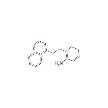 NC1=C(CCc2cccc3ccccc23)[CH]CC=C1